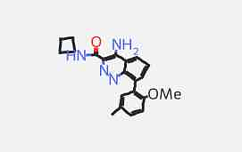 COc1ccc(C)cc1-c1cccc2c(N)c(C(=O)NC3CCC3)nnc12